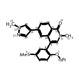 CCCOc1ccc(SC)cc1-c1cn(C)c(=O)c2ccc(-c3cnn(C)c3)cc12